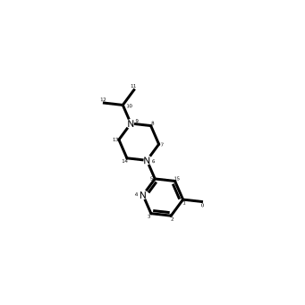 Cc1ccnc(N2CCN(C(C)C)CC2)c1